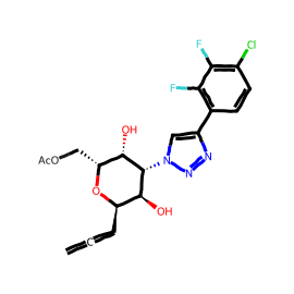 C=C=C[C@H]1O[C@H](COC(C)=O)[C@H](O)[C@H](n2cc(-c3ccc(Cl)c(F)c3F)nn2)[C@H]1O